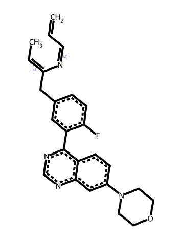 C=C/C=N\C(=C/C)Cc1ccc(F)c(-c2ncnc3cc(N4CCOCC4)ccc23)c1